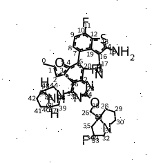 Cc1cc2c(o1)c(-c1ccc(F)c3sc(N)c(C#N)c13)c(F)c1nc(OC[C@@]34CCCN3C[C@H](F)C4)nc(N3C[C@H]4CC[C@@H](C3)N4)c12